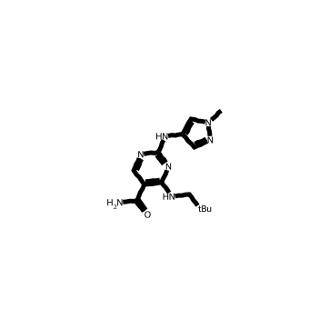 Cn1cc(Nc2ncc(C(N)=O)c(NCC(C)(C)C)n2)cn1